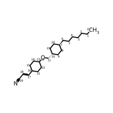 CCCCCCC[C@H]1CC[C@H](COC2CCC(C=CC#N)CC2)CC1